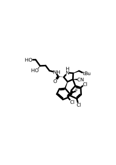 CC(C)(C)C[C@@H]1N[C@@H](C(=O)NCC[C@H](O)CO)[C@H](c2cccc(Cl)c2F)[C@@]1(C#N)c1ccc(Cl)cc1Cl